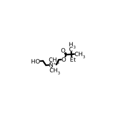 CCC(C)(C)C(=O)OCC[N+](C)(C)CCO